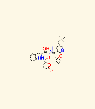 CC(C)(C)Cc1cnc2c(c1)[C@@H](NC[C@@H](O)[C@H](Cc1ccccc1)NC(=O)[C@H]1CCC(=O)O1)CC1(CCC1)O2